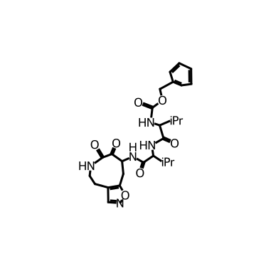 CC(C)C(NC(=O)OCc1ccccc1)C(=O)NC(C(=O)NC1Cc2oncc2CCNC(=O)C1=O)C(C)C